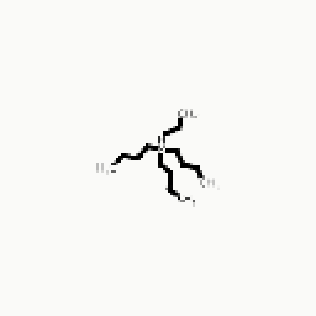 [CH2]CC[PH](CCCC)(CCCC)CCCC